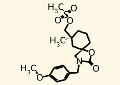 COc1ccc(CN2C[C@@]3(CCC[C@](C)(COS(C)(=O)=O)C3)OC2=O)cc1